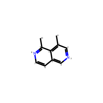 Cc1cncc2ccnc(C)c12